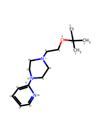 CCC(C)(C)OCCN1CCN(c2ccccn2)CC1